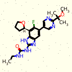 CCNC(=O)Nc1nc2cc(-c3cnc(C(C)(C)OC)nc3)c(F)c([C@H]3CCCO3)c2[nH]1